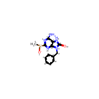 C[S+]([O-])c1nc(N)c2[nH]c(=O)n(Cc3ccccc3)c2n1